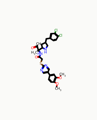 COc1ccc(-c2cnc(SCC(=O)NC(C)(C(C)=O)C3CC(Cc4ccc(Cl)c(Cl)c4)CN3)nc2)cc1OC